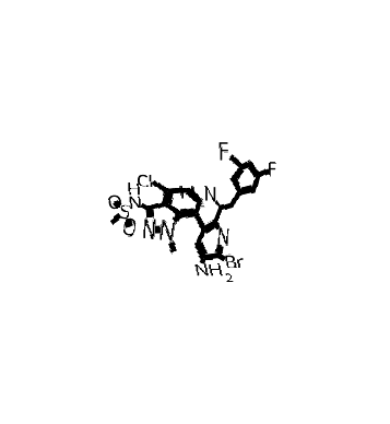 Cn1nc(NS(C)(=O)=O)c2c(Cl)ccc(-c3cc(N)c(Br)nc3[C@@H](N)Cc3cc(F)cc(F)c3)c21